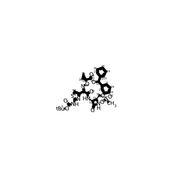 CC(C)(C)OC(=O)Nc1nc(/C(=N/OC2(C(=O)OC(c3ccccc3)c3ccccc3)CC2)C(=O)N[C@@H]2C(=O)N[C@@H]2COS(C)(=O)=O)cs1